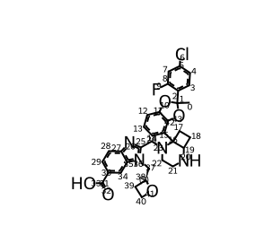 CC1(c2ccc(Cl)cc2F)Oc2cccc(C34CCC3NCCN4Cc3nc4ccc(C(=O)O)cc4n3C[C@@H]3CCO3)c2O1